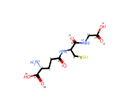 N[C@H](CCC(=O)NC(CS)C(=O)NCC(=O)O)C(=O)O